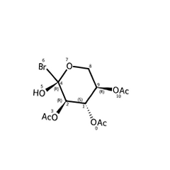 CC(=O)O[C@@H]1[C@@H](OC(C)=O)[C@](O)(Br)OC[C@H]1OC(C)=O